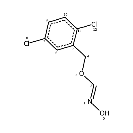 ON=COCc1cc(Cl)ccc1Cl